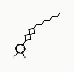 CCCCCCCC1CC2(C1)CC(c1ccc(F)c(F)c1)C2